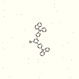 Brc1cc(-c2ccc(N(c3ccccc3)c3cccc4ccccc34)cc2)cc(-c2ccc(-n3c4ccccc4c4ccccc43)cc2)c1